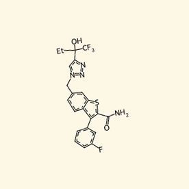 CCC(O)(c1cn(Cc2ccc3c(-c4cccc(F)c4)c(C(N)=O)sc3c2)nn1)C(F)(F)F